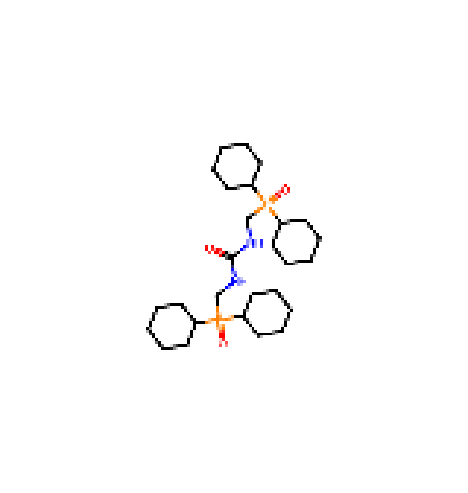 O=C(NCP(=O)(C1CCCCC1)C1CCCCC1)NCP(=O)(C1CCCCC1)C1CCCCC1